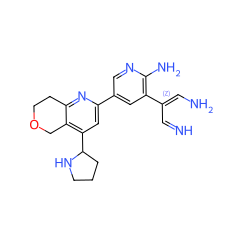 N=C/C(=C\N)c1cc(-c2cc(C3CCCN3)c3c(n2)CCOC3)cnc1N